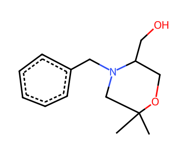 CC1(C)CN(Cc2ccccc2)C(CO)CO1